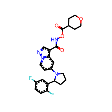 O=C(NOC(=O)C1CCOCC1)c1cnn2ccc(N3CCCC3c3cc(F)ccc3F)cc12